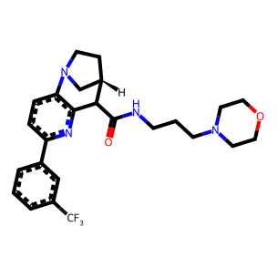 O=C(NCCCN1CCOCC1)C1c2nc(-c3cccc(C(F)(F)F)c3)ccc2N2CC[C@H]1C2